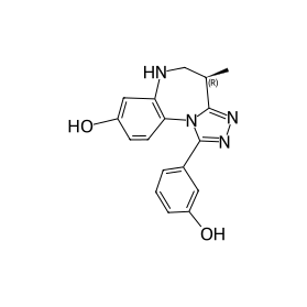 C[C@@H]1CNc2cc(O)ccc2-n2c(-c3cccc(O)c3)nnc21